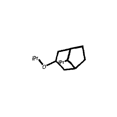 CC(C)OC1CC2CCC(C1)C2C(C)C